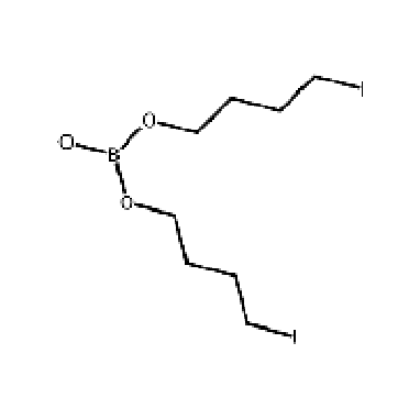 [O]B(OCCCCI)OCCCCI